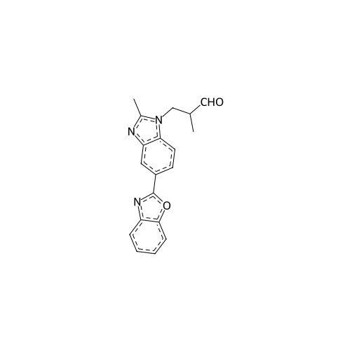 Cc1nc2cc(-c3nc4ccccc4o3)ccc2n1CC(C)C=O